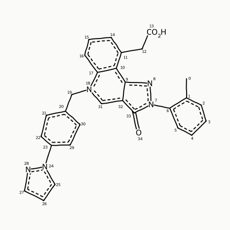 Cc1ccccc1-n1nc2c3c(CC(=O)O)cccc3n(Cc3ccc(-n4cccn4)cc3)cc-2c1=O